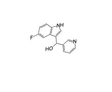 OC(c1cccnc1)c1c[nH]c2ccc(F)cc12